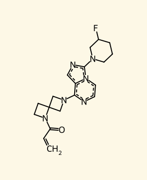 C=CC(=O)N1CCC12CN(c1nccn3c(N4CCCC(F)C4)ncc13)C2